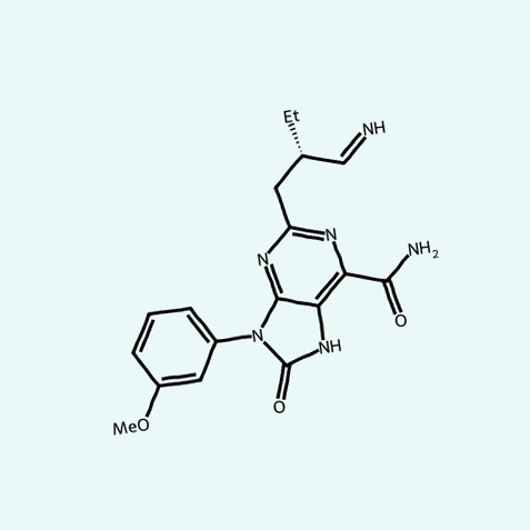 CC[C@H](C=N)Cc1nc(C(N)=O)c2[nH]c(=O)n(-c3cccc(OC)c3)c2n1